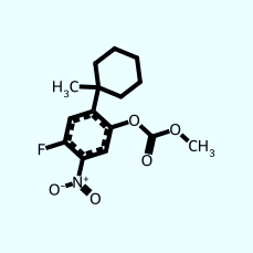 COC(=O)Oc1cc([N+](=O)[O-])c(F)cc1C1(C)CCCCC1